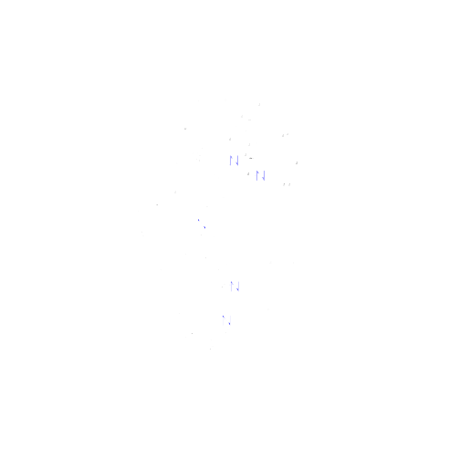 CC1(C)c2ccccc2N(c2ccc3c4ccccc4n(-c4ccccn4)c3c2)c2cc3c(cc21)c1cccc2c1n3-c1ncccc1C2(C)C